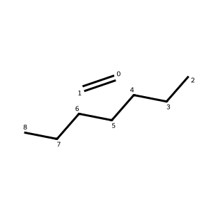 C=C.CCCCCCC